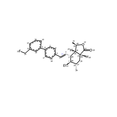 CC[C@H]1[C@H](/C=C/c2ccc(-c3cccc(CF)c3)cn2)[C@@H]2[C@@H](C)OC(=O)[C@@H]2C[C@@H]1C